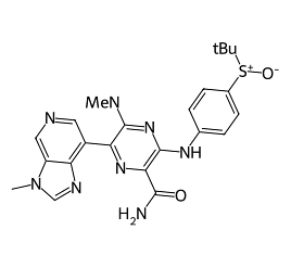 CNc1nc(Nc2ccc([S+]([O-])C(C)(C)C)cc2)c(C(N)=O)nc1-c1cncc2c1ncn2C